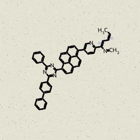 C=N/C(=C\C=C/C)c1ccc(-c2ccc3ccc4c(-c5nc(-c6ccccc6)nc(-c6ccc(-c7ccccc7)cc6)n5)ccc5ccc2c3c54)cn1